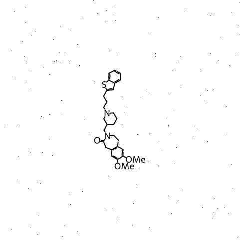 COc1cc2c(cc1OC)CC(=O)N(CC1CCCN(CCCc3cc4ccccc4s3)C1)CC2